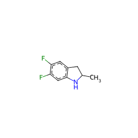 CC1Cc2cc(F)c(F)cc2N1